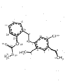 CCc1cc(CC)c(OCc2ccccc2OC(=O)OC)cc1Cl